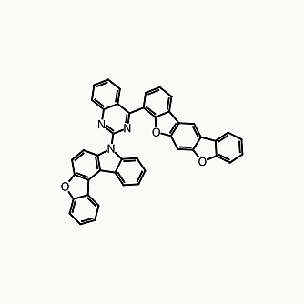 c1ccc2c(-c3cccc4c3oc3cc5oc6ccccc6c5cc34)nc(-n3c4ccccc4c4c5c(ccc43)oc3ccccc35)nc2c1